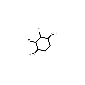 OC1CCC(O)C(F)C1F